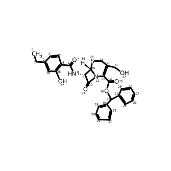 CCc1ccc(C(=O)N[C@H]2C(=O)N3C(C(=O)OC(c4ccccc4)c4ccccc4)=C(CO)CS[C@@H]23)c(O)c1